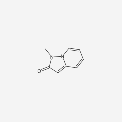 Cn1c(=O)cc2ccccn21